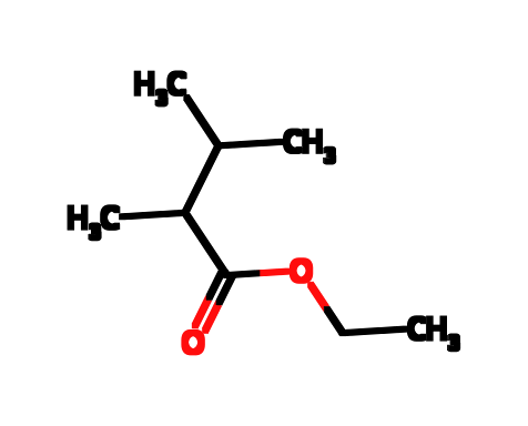 CCOC(=O)C(C)C(C)C